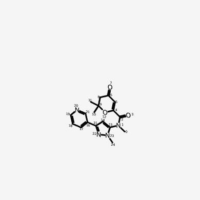 CN(C(=O)C1=CC(=O)CC(C)(C)O1)c1cc(-c2cccnc2)nn1C